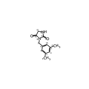 Cc1cc(C)cc(CN2C(=O)CNC2=O)c1